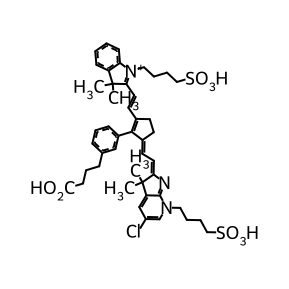 CC1(C)C2=CC(Cl)=CN(CCCCS(=O)(=O)O)C2=N/C1=C/C=C1\CCC(/C=C/C2=[N+](CCCCS(=O)(=O)O)c3ccccc3C2(C)C)=C1c1cccc(CCCC(=O)O)c1